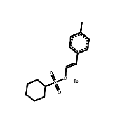 Cc1ccc(C=COS(=O)(=O)C2CCCCC2)cc1.[Te]